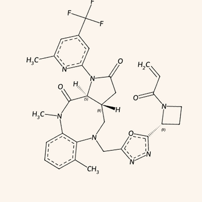 C=CC(=O)N1CC[C@@H]1c1nnc(CN2C[C@H]3CC(=O)N(c4cc(C(F)(F)F)cc(C)n4)[C@@H]3C(=O)N(C)c3cccc(C)c32)o1